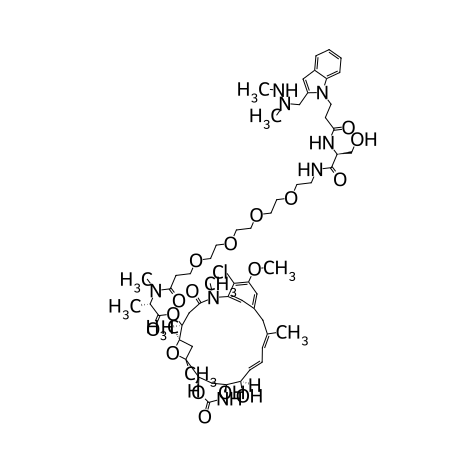 CNN(C)Cc1cc2ccccc2n1CCC(=O)N[C@@H](CO)C(=O)NCCOCCOCCOCCOCCC(=O)N(C)[C@@H](C)C(=O)O[C@H]1CC(=O)N(C)c2cc(cc(OC)c2Cl)C/C(C)=C/C=C/[C@@H](O)[C@@]2(O)C[C@H](OC(=O)N2)C2(C)C[C@@]1(C)O2